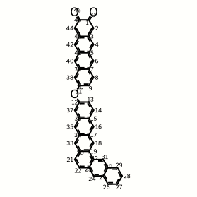 O=C1C=c2cc3cc4ccc(Oc5ccc6cc7cc8c(ccc9cc%10ccccc%10cc98)cc7cc6c5)cc4cc3cc2=CC1=O